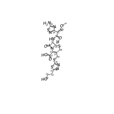 CO/N=C(/C(=O)NC1C(=O)N2C(C(=O)O)=C(CSc3nnc(CCO)s3)CS[C@H]12)c1nsc(N)n1